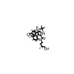 C[C@@H](CO)CCNC(=O)[C@@H]1N[C@@H](CC(C)(C)C)[C@](N)(c2ccc(Cl)cc2)[C@H]1c1cccc(Cl)c1F